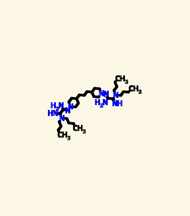 CCCCN(CCCC)C(=N)C(N)=NN1CCC(CCCC2CCN(N=C(N)C(=N)N(CCCC)CCCC)CC2)CC1